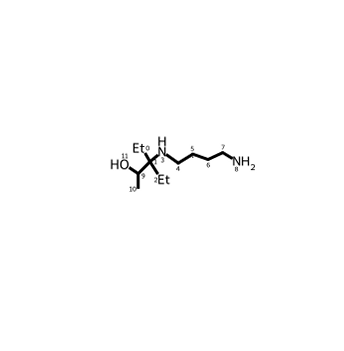 CCC(CC)(NC[CH]CCN)C(C)O